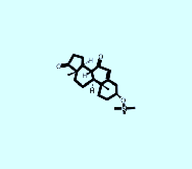 C[C@]12CC[C@H](O[Si](C)(C)C)CC1=CC(=O)[C@@H]1[C@@H]2CC[C@]2(C)C(=O)CC[C@@H]12